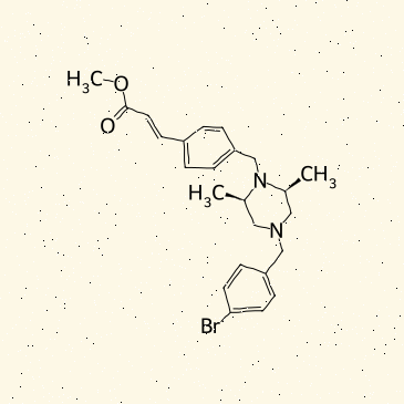 COC(=O)C=Cc1ccc(CN2[C@H](C)CN(Cc3ccc(Br)cc3)C[C@@H]2C)cc1